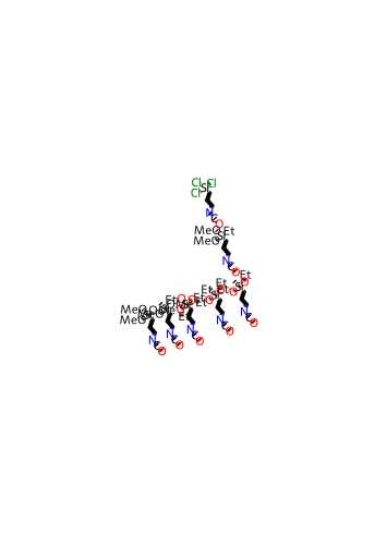 CCO[Si](C)(CCCN=C=O)OCC.CCO[Si](CC)(CCCN=C=O)OCC.CCO[Si](CCCN=C=O)(OCC)OCC.CC[Si](CCCN=C=O)(OC)OC.CO[Si](C)(CCCN=C=O)OC.CO[Si](CCCN=C=O)(OC)OC.O=C=NCCC[Si](Cl)(Cl)Cl